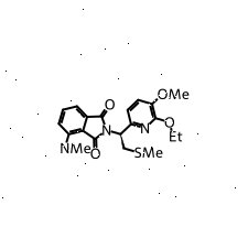 CCOc1nc([C@@H](CSC)N2C(=O)c3cccc(NC)c3C2=O)ccc1OC